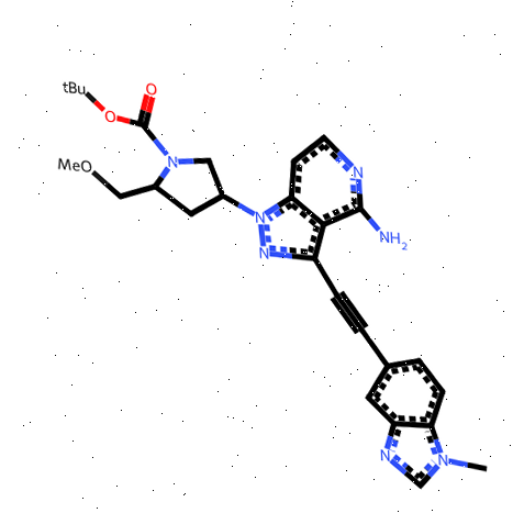 COCC1CC(n2nc(C#Cc3ccc4c(c3)ncn4C)c3c(N)nccc32)CN1C(=O)OC(C)(C)C